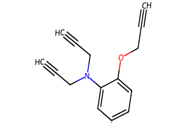 C#CCOc1cc[c]cc1N(CC#C)CC#C